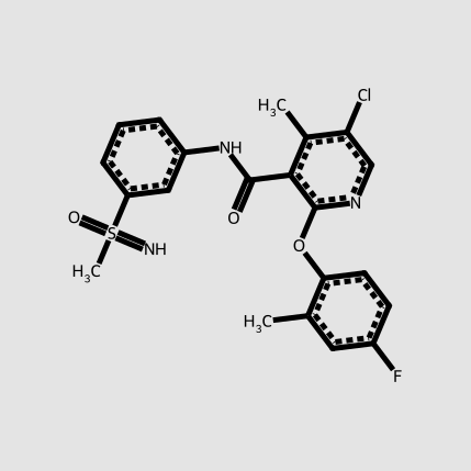 Cc1cc(F)ccc1Oc1ncc(Cl)c(C)c1C(=O)Nc1cccc(S(C)(=N)=O)c1